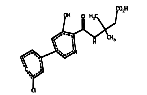 CC(C)(CC(=O)O)NC(=O)c1ncc(-c2cccc(Cl)c2)cc1O